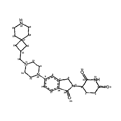 O=C1CCC(N2Cc3cc(N4CCN(CC5CC6(CCNCC6)C5)CC4)ccc3C2=O)C(=O)N1